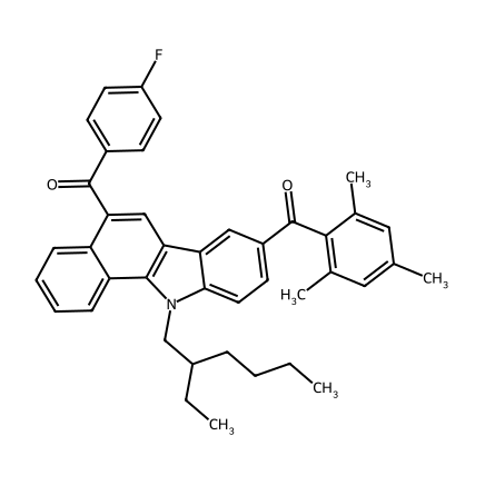 CCCCC(CC)Cn1c2ccc(C(=O)c3c(C)cc(C)cc3C)cc2c2cc(C(=O)c3ccc(F)cc3)c3ccccc3c21